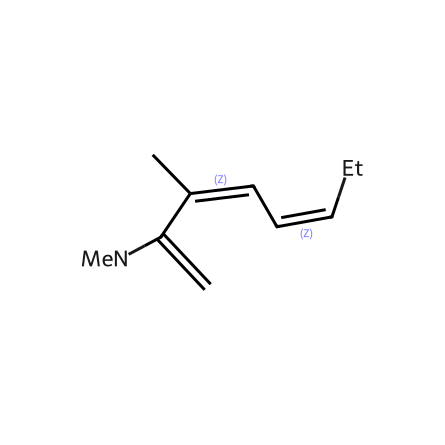 C=C(NC)/C(C)=C\C=C/CC